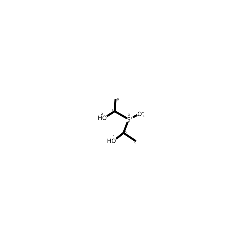 CC(O)[S+]([O-])C(C)O